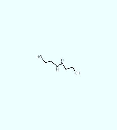 OCCNNCCO